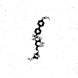 COc1ccc(-c2ccc(S(=O)(=O)NC(CC(O)CSc3nnc(C)s3)C(=O)O)cc2)cc1